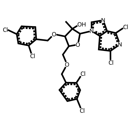 CC1(O)C(OCc2ccc(Cl)cc2Cl)C(COCc2ccc(Cl)cc2Cl)OC1n1cnc2c(Cl)nc(Cl)cc21